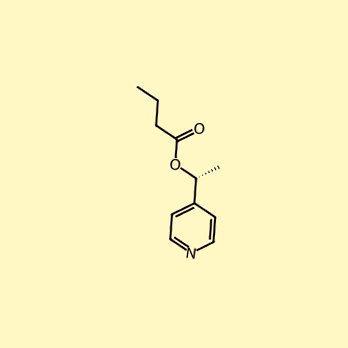 CCCC(=O)O[C@H](C)c1ccncc1